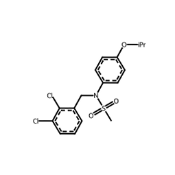 CC(C)Oc1ccc(N(Cc2cccc(Cl)c2Cl)S(C)(=O)=O)cc1